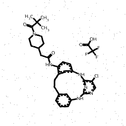 CC(C)(C)C(=O)N1CCC(CC(=O)Nc2ccc3cc2CCc2cccc(c2)Nc2ncc(Cl)c(n2)N3)CC1.O=C(O)C(F)(F)F